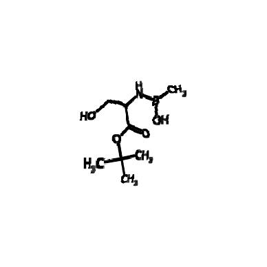 CB(O)NC(CO)C(=O)OC(C)(C)C